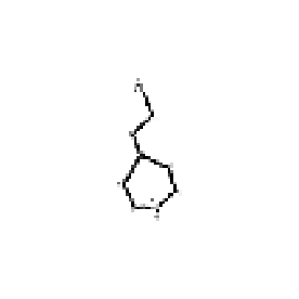 ClCCC1CCNCC1